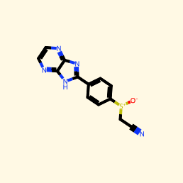 N#CC[S+]([O-])c1ccc(-c2nc3nccnc3[nH]2)cc1